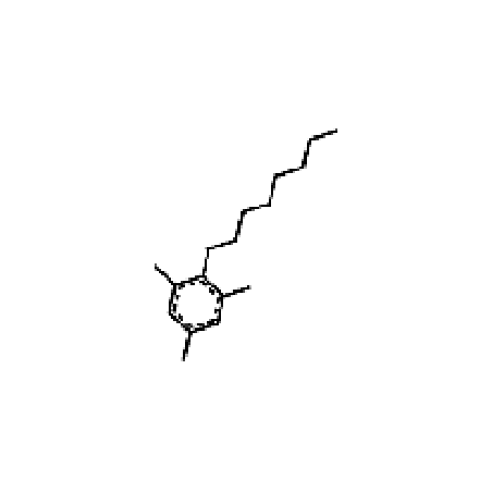 CCCCCCC[CH]c1c(C)cc(C)cc1C